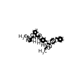 CCC(=O)N[C@H](Cc1ccc(NC(=O)[C@@H](NC(=O)c2ccnn2CC)C2CCCC2)cc1)C(=O)N1CCN(Cc2ccccc2)CC1